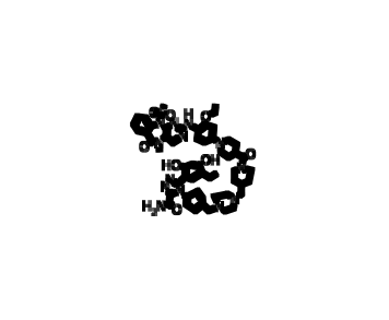 CCOc1cc(N2CCC(C(=O)N3CCC(CN4CCN(Cc5ccc(-n6c(C(N)=O)nnc6-c6cc(CC)c(O)cc6O)cc5)CC4)CC3)CC2)ccc1Nc1ncc2c(n1)N(S(C)(=O)=O)c1ccccc1C(=O)N2C